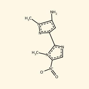 Cn1nc(-c2ncc([N+](=O)[O-])n2C)cc1N